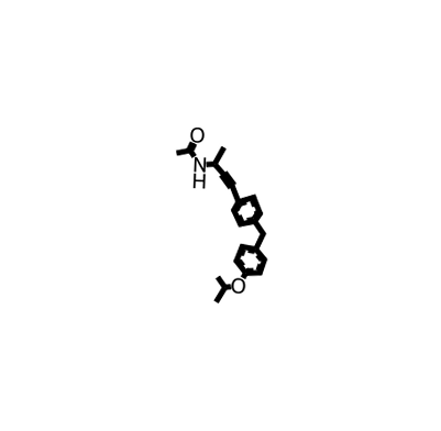 CC(=O)NC(C)C#Cc1ccc(Cc2ccc(OC(C)C)cc2)cc1